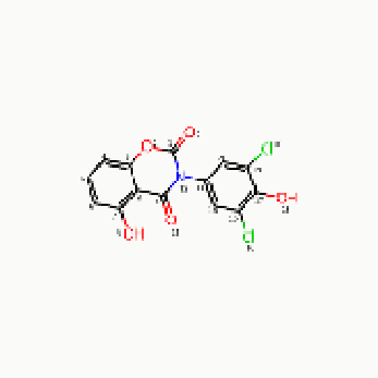 O=c1oc2cccc(O)c2c(=O)n1-c1cc(Cl)c(O)c(Cl)c1